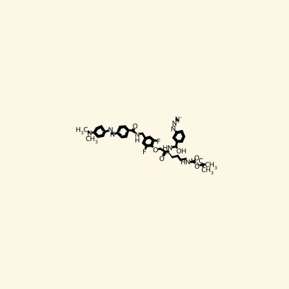 CN(C)c1ccc(/N=N/c2ccc(C(=O)NCc3cc(F)c(OCC(=O)[C@H](CCCCNC(=O)OC(C)(C)C)NC(O)c4cccc(N=[N+]=[N-])c4)c(F)c3)cc2)cc1